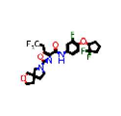 O=C(Nc1ccc(OC2CCCC2(F)F)c(F)c1)c1nc(N2CCC3(CCOC3)C2)oc1CC(F)(F)F